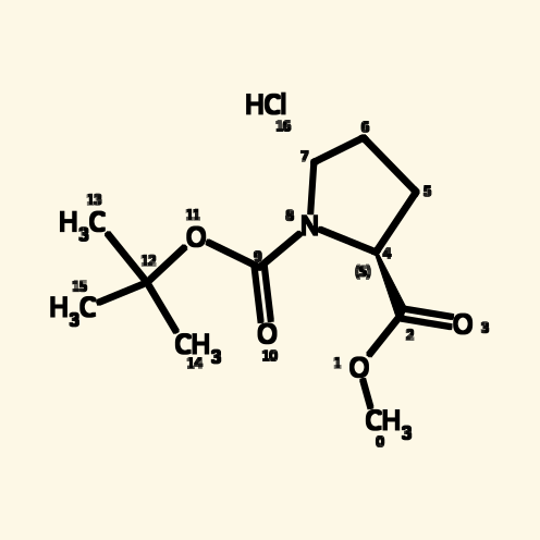 COC(=O)[C@@H]1CCCN1C(=O)OC(C)(C)C.Cl